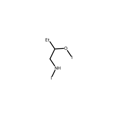 CCC(CNI)OI